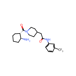 N[C@H]1CCCC[C@@H]1C(=O)N1CCC(CC(=O)Nc2cccc(C(F)(F)F)c2)CC1